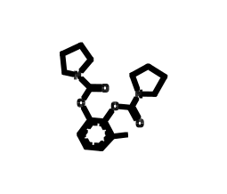 Cc1cccc(OC(=O)N2CCCC2)c1OC(=O)N1CCCC1